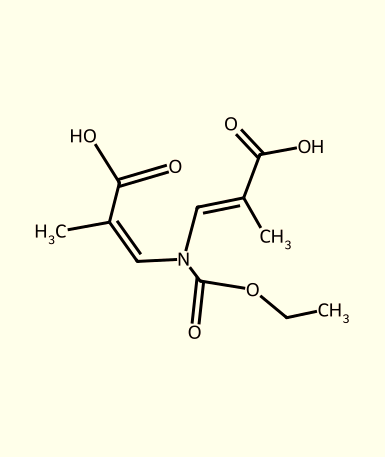 CCOC(=O)N(C=C(C)C(=O)O)C=C(C)C(=O)O